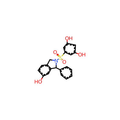 O=S(=O)(c1cc(O)cc(O)c1)N1Cc2ccc(O)cc2C1c1ccccc1